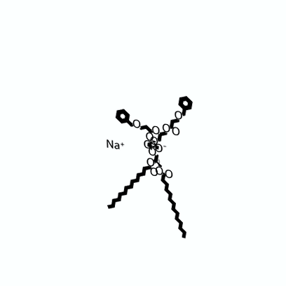 CCCCCCCCCCCCCC(=O)OC[C@H](COP(=O)([O-])OCC(COC(=O)CCOCc1ccccc1)OC(=O)CCOCc1ccccc1)OC(=O)CCCCCCCCCCCCC.[Na+]